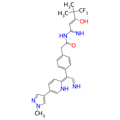 Cn1cc(C2=CN/C(=C(\C=N)c3ccc(CC(=O)NC(=N)/C=C(\O)C(C)(C)C(F)(F)F)cc3)C=C2)cn1